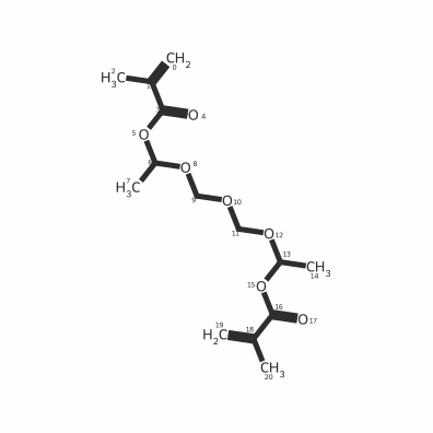 C=C(C)C(=O)OC(C)OCOCOC(C)OC(=O)C(=C)C